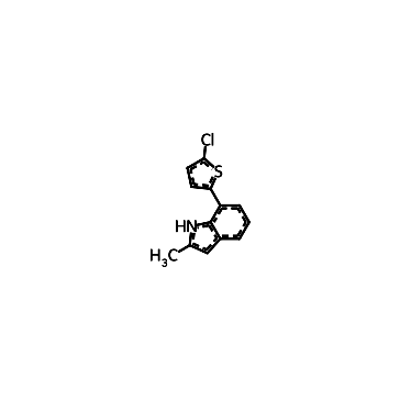 Cc1cc2cccc(-c3ccc(Cl)s3)c2[nH]1